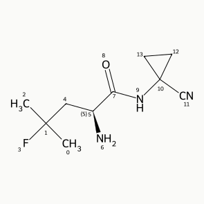 CC(C)(F)C[C@H](N)C(=O)NC1(C#N)CC1